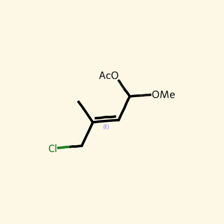 COC(/C=C(\C)CCl)OC(C)=O